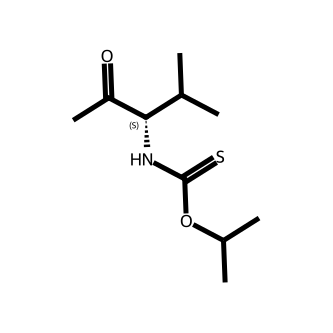 CC(=O)[C@@H](NC(=S)OC(C)C)C(C)C